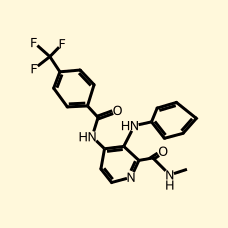 CNC(=O)c1nccc(NC(=O)c2ccc(C(F)(F)F)cc2)c1Nc1ccccc1